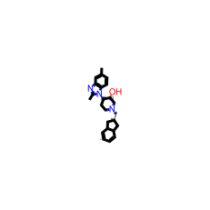 Cc1ccc2c(c1)nc(C)n2[C@@H]1CCN(C[C@H]2CC3C=[C]C=CC3C2)C[C@H]1O